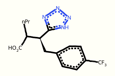 CCCC(C(=O)O)[C@H](Cc1ccc(C(F)(F)F)cc1)c1nnn[nH]1